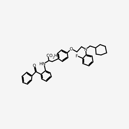 O=C(c1ccccc1)c1ccccc1NC(Cc1ccc(OCCN(CC2CCCCC2)c2ccccc2F)cc1)C(=O)O